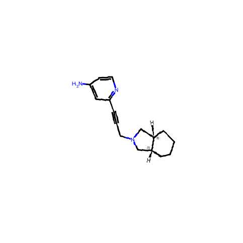 Nc1ccnc(C#CCN2C[C@H]3CCCC[C@H]3C2)c1